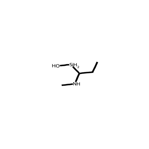 CCC(NC)[SiH2]O